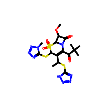 COC1C(=O)N2C(C(=O)C(C)(C)C)=C(C(C)Sc3nnn[nH]3)C(Sc3nnnn3C)S(=O)(=O)C12